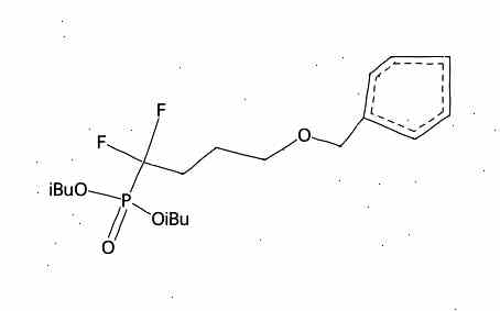 CC(C)COP(=O)(OCC(C)C)C(F)(F)CCCOCc1ccccc1